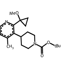 COC1(c2nccc(C)c2C2CCN(C(=O)OC(C)(C)C)CC2)CC1